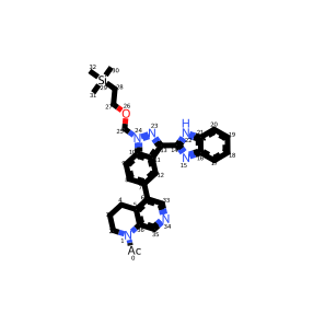 CC(=O)N1CCCc2c(-c3ccc4c(c3)c(-c3nc5ccccc5[nH]3)nn4COCC[Si](C)(C)C)cncc21